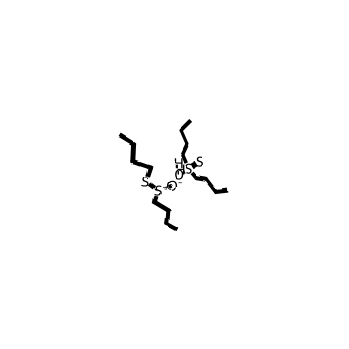 CCCCS[S+]([O-])CCCC.CCCC[SH](O)(=S)CCCC